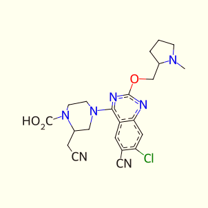 CN1CCCC1COc1nc(N2CCN(C(=O)O)C(CC#N)C2)c2cc(C#N)c(Cl)cc2n1